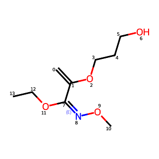 C=C(OCCCO)/C(=N\OC)OCC